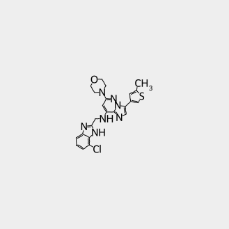 Cc1cc(-c2cnc3c(NCc4nc5cccc(Cl)c5[nH]4)cc(N4CCOCC4)nn23)cs1